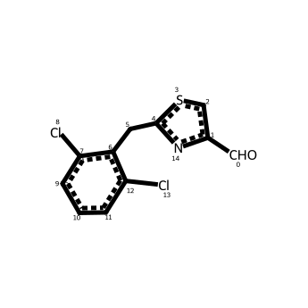 O=Cc1csc(Cc2c(Cl)cccc2Cl)n1